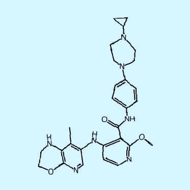 COc1nccc(Nc2cnc3c(c2C)NCCO3)c1C(=O)Nc1ccc(N2CCN(C3CC3)CC2)cc1